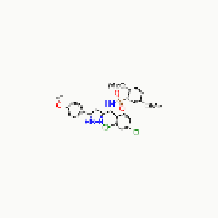 CCOc1ccc(C2CC(C(NS(=O)(=O)c3cc(OC)ccc3OC)c3ccc(Cl)cc3Cl)=NN2)cc1